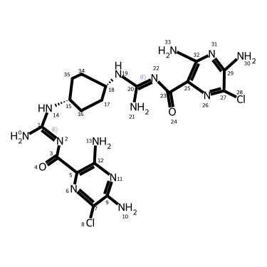 N/C(=N\C(=O)c1nc(Cl)c(N)nc1N)N[C@H]1CC[C@@H](N/C(N)=N/C(=O)c2nc(Cl)c(N)nc2N)CC1